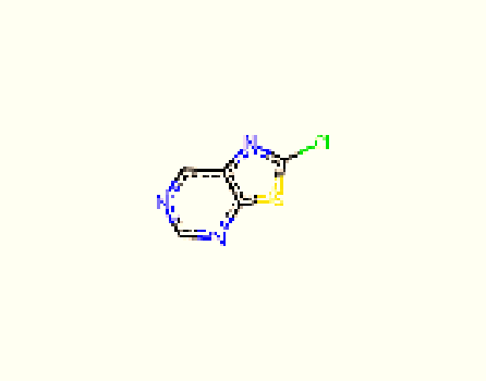 Clc1nc2cncnc2s1